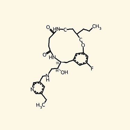 CCCC1CCNC(=O)CCC(=O)N[C@H]([C@H](O)CNCc2cncc(CC)c2)Cc2cc(F)cc(c2)OC1